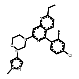 CCc1ccc2c(-c3ccc(Cl)cc3F)nc(N3CCO[C@H](c4cnn(C)c4)C3)cc2n1